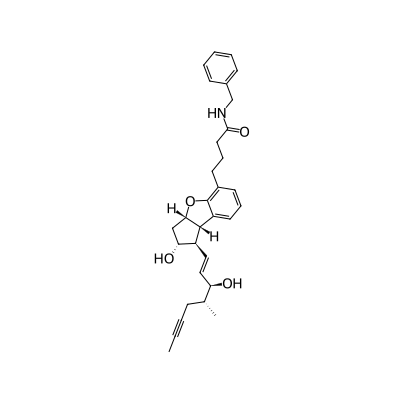 CC#CC[C@@H](C)[C@H](O)/C=C/[C@@H]1[C@H]2c3cccc(CCCC(=O)NCc4ccccc4)c3O[C@H]2C[C@H]1O